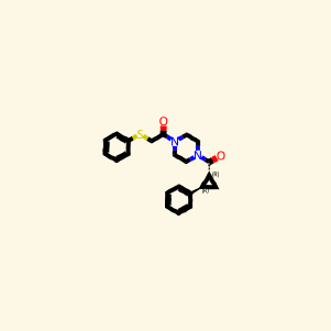 O=C(CSc1ccccc1)N1CCN(C(=O)[C@@H]2C[C@H]2c2ccccc2)CC1